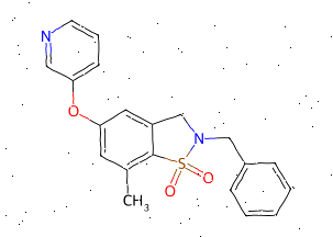 Cc1cc(Oc2cccnc2)cc2c1S(=O)(=O)N(Cc1ccccc1)C2